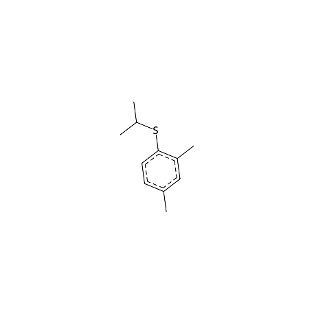 Cc1ccc(SC(C)C)c(C)c1